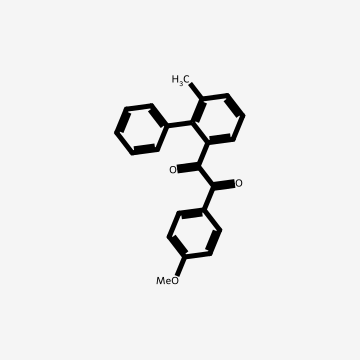 COc1ccc(C(=O)C(=O)c2cccc(C)c2-c2ccccc2)cc1